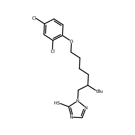 CC(C)(C)C(CCCCOc1ccc(Cl)cc1Cl)Cn1ncnc1S